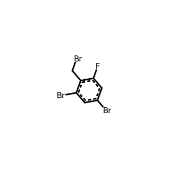 Fc1cc(Br)cc(Br)c1CBr